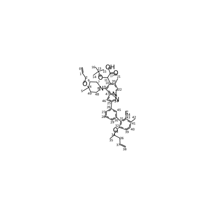 C=CCOC1(C)CCN(c2c(C(OC(C)(C)C)C(=O)O)c(C)cn3nc(-c4cccc(-c5c(OC(C)CC=C)ccc(C)c5F)c4)cc23)CC1